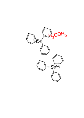 O.O.c1cc[c]([SnH]([c]2ccccc2)[c]2ccccc2)cc1.c1cc[c]([SnH]([c]2ccccc2)[c]2ccccc2)cc1